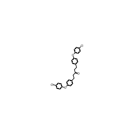 O=C(CCc1ccc(Oc2ccc(Cl)cc2)cc1)CCc1ccc(Oc2ccc(Cl)cc2)cc1